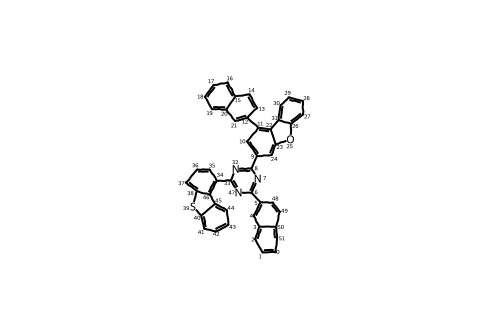 c1ccc2cc(-c3nc(-c4cc(-c5ccc6ccccc6c5)c5c(c4)oc4ccccc45)nc(-c4cccc5sc6ccccc6c45)n3)ccc2c1